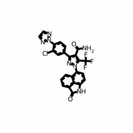 NC(=O)c1c(-c2ccc(-n3nccn3)c(Cl)c2)nn(-c2ccc3c4c(cccc24)C(=O)N3)c1C(F)(F)F